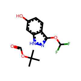 CC(C)(C)OC=O.Oc1ccc2c(OC(F)F)n[nH]c2c1